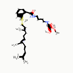 CC(C)=CCC/C(C)=C/CC/C(C)=C/CSc1ccccc1C(=O)NCCCCNC(=O)OC(C)(C)C